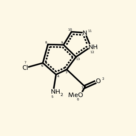 COC(=O)c1c(N)c(Cl)cc2cn[nH]c12